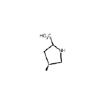 C[C@@H]1CNC(C(=O)O)C1